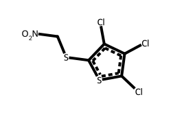 O=[N+]([O-])CSc1sc(Cl)c(Cl)c1Cl